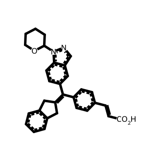 O=C(O)C=Cc1ccc(C(=C2Cc3ccccc3C2)c2ccc3c(cnn3C3CCCCO3)c2)cc1